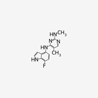 CNc1ncc(C)c(Nc2ccc(F)c3[nH]ccc23)n1